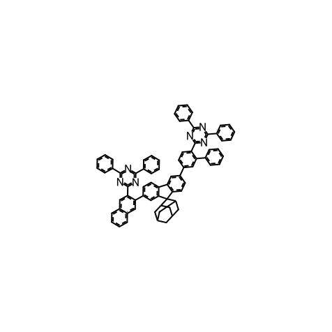 c1ccc(-c2nc(-c3ccccc3)nc(-c3ccc(-c4ccc5c(c4)-c4ccc(-c6cc7ccccc7cc6-c6nc(-c7ccccc7)nc(-c7ccccc7)n6)cc4C54C5CC6CC(C5)CC4C6)cc3-c3ccccc3)n2)cc1